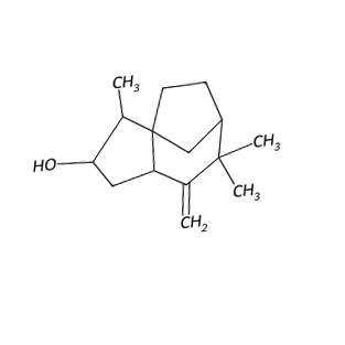 C=C1C2CC(O)C(C)C23CCC(C3)C1(C)C